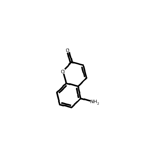 Nc1cccc2oc(=O)ccc12